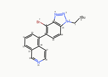 CC(C)(C)Cn1nnc2c(Br)c(-c3cccc4cnccc34)ccc21